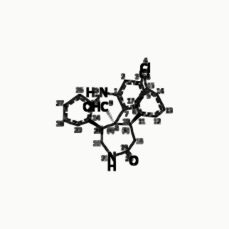 Nc1cc(Cl)ccc1[C@@]1(C=O)[C@@H](c2cccc(Cl)c2)CC(=O)NC[C@H]1c1ccccc1